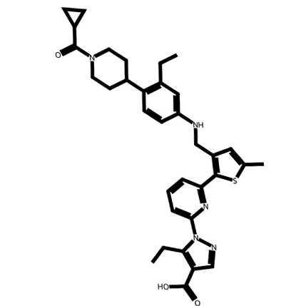 CCc1cc(NCc2cc(C)sc2-c2cccc(-n3ncc(C(=O)O)c3CC)n2)ccc1C1CCN(C(=O)C2CC2)CC1